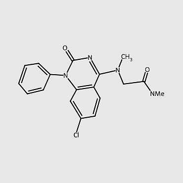 CNC(=O)CN(C)c1nc(=O)n(-c2ccccc2)c2cc(Cl)ccc12